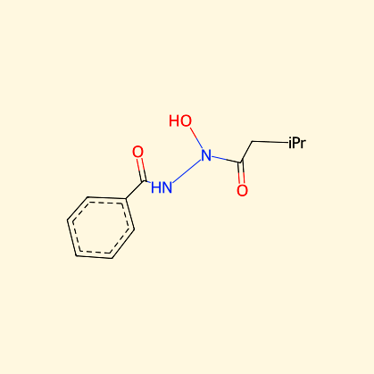 CC(C)CC(=O)N(O)NC(=O)c1ccccc1